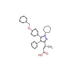 C/C(=C\C(=O)O)c1nn(C2CCCCC2)c(-c2ccc(OCc3ccccc3)cc2)c1-c1ccccc1